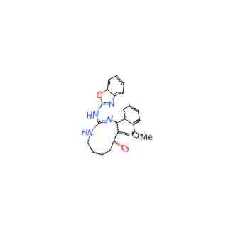 C=C1C(=O)CCCCN/C(Nc2nc3ccccc3o2)=N\C1c1ccccc1OC